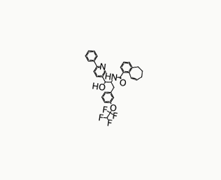 O=C(NC(Cc1cccc(OC(F)(F)C(F)F)c1)C(O)c1ccc(-c2ccccc2)nc1)c1cccc2c1C=CCCC2